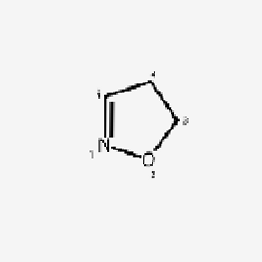 [C]1=NOCC1